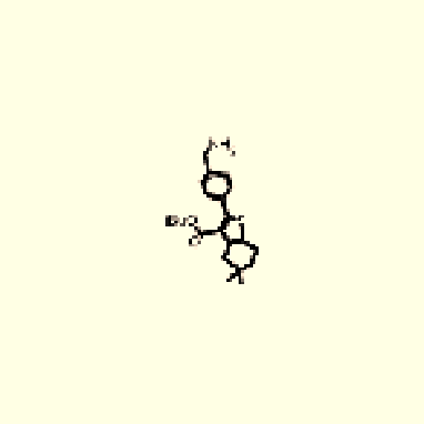 CC(C)COC(=O)c1c(-c2ccc(CN)cc2)sc2c1CC(C)(C)CC2